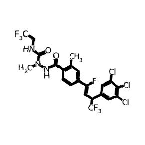 Cc1cc(C(F)=CC(c2cc(Cl)c(Cl)c(Cl)c2)C(F)(F)F)ccc1C(=O)NN(C)C(=O)NCC(F)(F)F